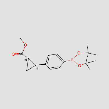 COC(=O)[C@H]1C[C@@H]1c1ccc(B2OC(C)(C)C(C)(C)O2)cc1